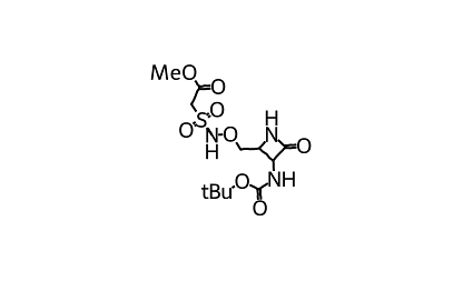 COC(=O)CS(=O)(=O)NOCC1NC(=O)C1NC(=O)OC(C)(C)C